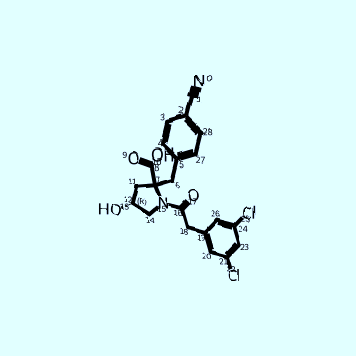 N#Cc1ccc(CC2(C(=O)O)C[C@@H](O)CN2C(=O)Cc2cc(Cl)cc(Cl)c2)cc1